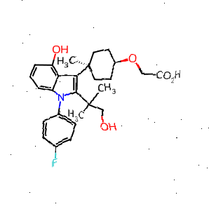 CC(C)(CO)c1c([C@]2(C)CC[C@H](OCC(=O)O)CC2)c2c(O)cccc2n1-c1ccc(F)cc1